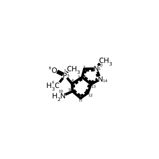 Cn1cc2c(P(C)(C)=O)c(N)ccc2n1